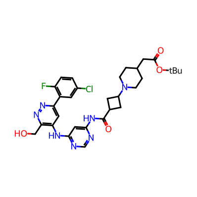 CC(C)(C)OC(=O)CC1CCN(C2CC(C(=O)Nc3cc(Nc4cc(-c5cc(Cl)ccc5F)nnc4CO)ncn3)C2)CC1